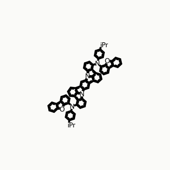 CC(C)c1ccc(N(c2cccc3c2oc2ccccc23)c2cccc3c2c2cccc4c5cc6c(cc5n3c42)c2cccc3c4c(N(c5ccc(C(C)C)cc5)c5cccc7c5oc5ccccc57)cccc4n6c23)cc1